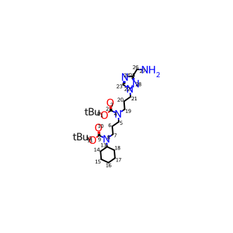 CC(C)(C)OC(=O)N(CCCN(C(=O)OC(C)(C)C)C1CCCCC1)CCCn1cnc(CN)n1